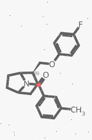 Cc1cccc(C(=O)N2C3CCC2[C@@H](COc2ccc(F)cc2)CC3)c1